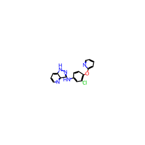 Clc1cc(Nc2n[nH]c3cccnc23)ccc1Oc1ccccn1